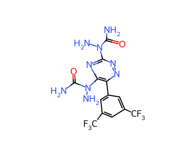 NC(=O)N(N)c1nnc(-c2cc(C(F)(F)F)cc(C(F)(F)F)c2)c(N(N)C(N)=O)n1